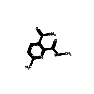 CNC(=O)c1nc(C)ccc1C(N)=O